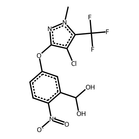 Cn1nc(Oc2ccc([N+](=O)[O-])c(C(O)O)c2)c(Cl)c1C(F)(F)F